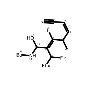 C#C/C=C\C(C)/C(F)=C(\C(F)CC)C(O)NC(C)CC